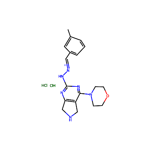 Cc1cccc(/C=N/Nc2nc3c(c(N4CCOCC4)n2)CNC3)c1.Cl.Cl